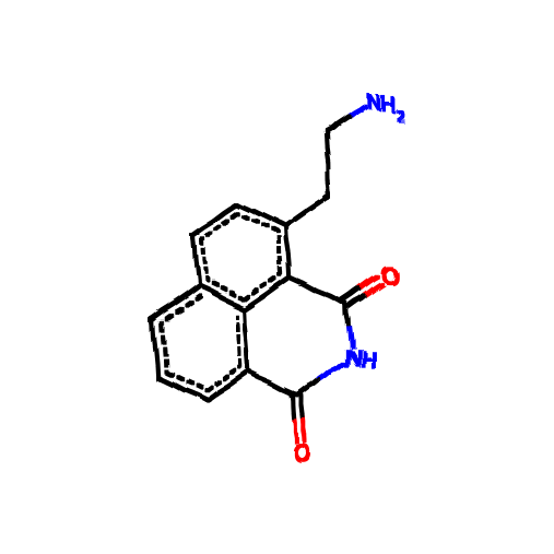 NCCc1ccc2cccc3c2c1C(=O)NC3=O